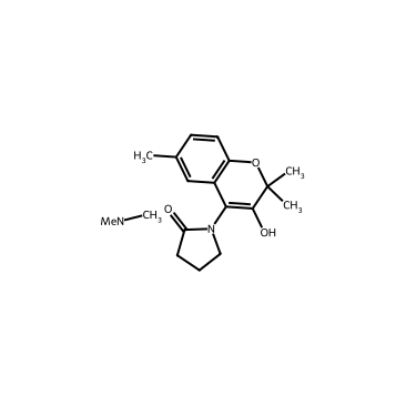 CNC.Cc1ccc2c(c1)C(N1CCCC1=O)=C(O)C(C)(C)O2